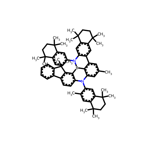 Cc1cc2c3c(c1)N(c1cc4c(cc1C)C(C)(C)CCC4(C)C)c1ccc4c(c1B3N(c1ccc3c(c1)C(C)(C)CCC3(C)C)c1cc3c(cc1-2)C(C)(C)CCC3(C)C)C(C)(C)c1ccccc1-4